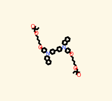 CCC1(COCCCCCCOc2ccc(N(c3ccc(-c4ccc(N(c5ccc(OCCCCCCOCC6(CC)COC6)cc5)c5ccc6ccccc6c5)cc4)cc3)c3ccc4ccccc4c3)cc2)COC1